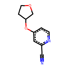 N#Cc1cc(OC2CCOC2)ccn1